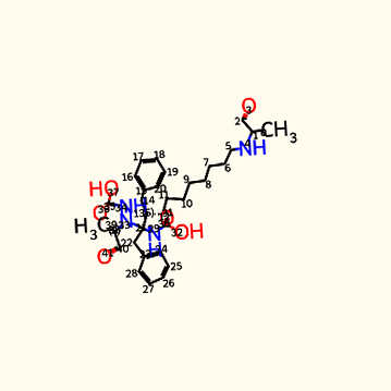 CC(C=O)NCCCCCCCC[C@@H](Cc1ccccc1)C(Cc1ccccc1)(NC(=O)O)N(NC(=O)O)[C@@H](C)C=O